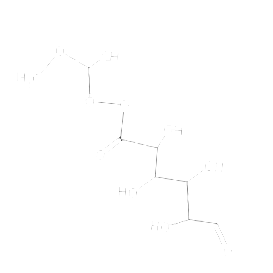 COC(C)OOC(=O)C(O)C(O)C(O)C(O)C=O